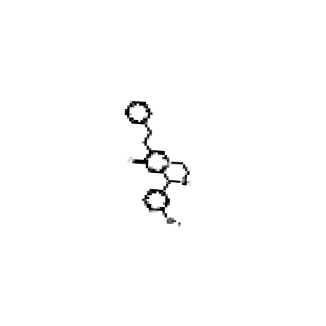 Bc1cccc(C2NCCn3cc(CCc4ccccc4)c(=O)cc32)c1